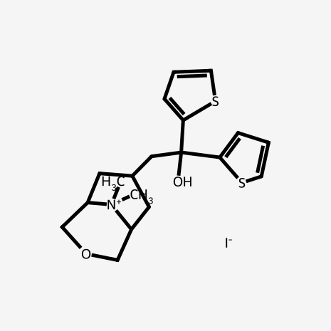 C[N+]1(C)C2COCC1CC(CC(O)(c1cccs1)c1cccs1)C2.[I-]